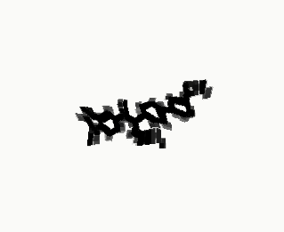 Cc1cc(-c2ccc(C(CN)Nc3ccc4[nH]cnc4c3)cc2)cs1